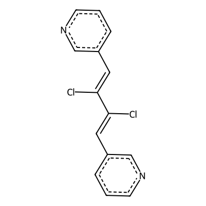 ClC(=Cc1cccnc1)C(Cl)=Cc1cccnc1